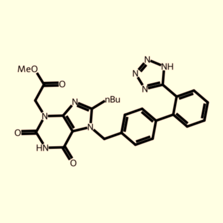 CCCCc1nc2c(c(=O)[nH]c(=O)n2CC(=O)OC)n1Cc1ccc(-c2ccccc2-c2nnn[nH]2)cc1